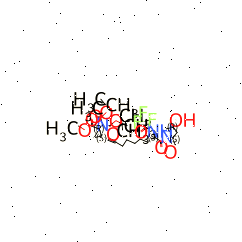 CCOC(=O)[C@@]1(N(C(=O)OC(C)(C)C)C(=O)OC(C)(C)C)C[C@H]1C#CCCCCC[C@H](NC(=O)C(F)(F)F)C(=O)N1C[C@H](O)C[C@H]1C=O